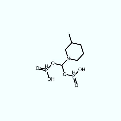 CC1CCCN(C(O[PH](=O)O)O[PH](=O)O)C1